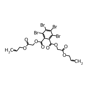 C=CCOC(=O)COC(=O)c1c(Br)c(Br)c(Br)c(Br)c1C(=O)OCC(=O)OCC=C